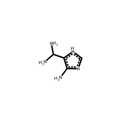 Nc1nc[nH]c1C(N)N